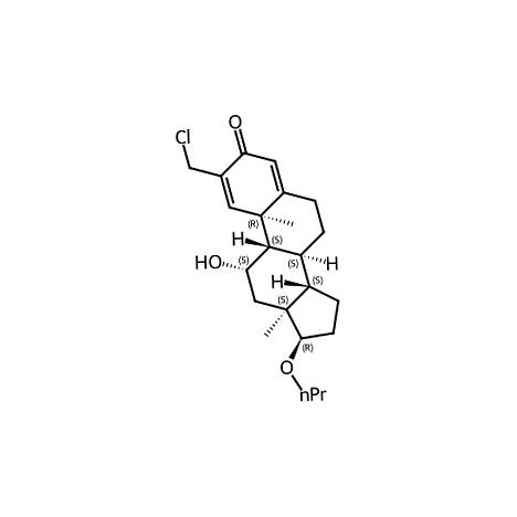 CCCO[C@@H]1CC[C@H]2[C@@H]3CCC4=CC(=O)C(CCl)=C[C@]4(C)[C@H]3[C@@H](O)C[C@]12C